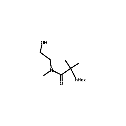 CCCCCCC(C)(C)C(=O)N(C)CCO